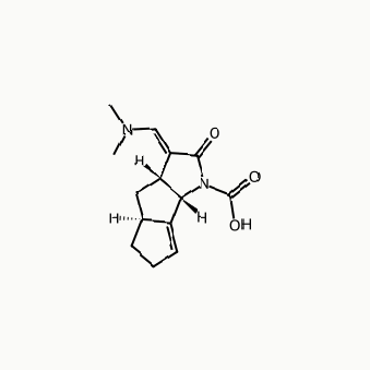 CN(C)/C=C1/C(=O)N(C(=O)O)[C@@H]2C3=CCC[C@H]3C[C@H]12